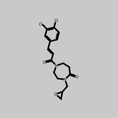 O=C(/C=C/c1ccc(Cl)c(Cl)c1)N1CCC(=O)N(CC2CO2)CC1